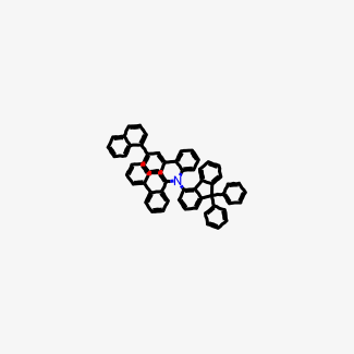 c1ccc(C2(c3ccccc3)c3ccccc3-c3c(N(c4ccccc4-c4cccc(-c5cccc6ccccc56)c4)c4cc5ccccc5c5ccccc45)cccc32)cc1